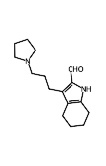 O=Cc1[nH]c2c(c1CCCN1CCCC1)CCCC2